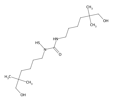 CC(C)(CO)CCCCNC(=O)N(S)CCCCC(C)(C)CO